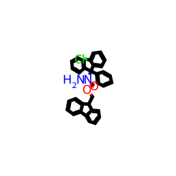 NN(C(=O)OCC1c2ccccc2-c2ccccc21)C(c1ccccc1)(c1ccccc1)c1ccccc1Cl